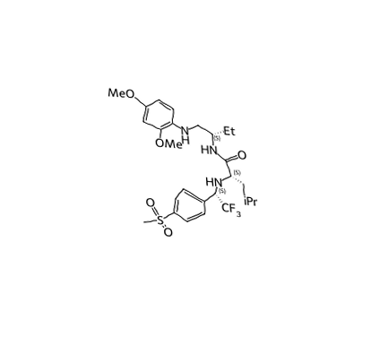 CC[C@@H](CNc1ccc(OC)cc1OC)NC(=O)[C@H](CC(C)C)N[C@@H](c1ccc(S(C)(=O)=O)cc1)C(F)(F)F